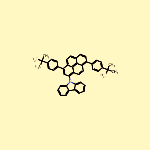 CC(C)(C)c1ccc(-c2ccc3ccc4c(-c5ccc(C(C)(C)C)cc5)cc(-n5c6ccccc6c6ccccc65)c5ccc2c3c45)cc1